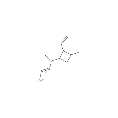 C=CC1C(C)CC1C(C)/C=C/CCC